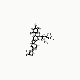 CC(C)(C)OC(=O)N[C@H]1Cc2c(nc3cc(-c4noc(=O)[nH]4)ccn23)C[C@@H]1c1cc(F)c(F)cc1F